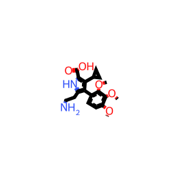 COc1ccc(-c2c(CCN)[nH]c(C(=O)O)c2C2CC2)c(OC)c1OC